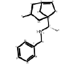 CC1CC2=CCC([C@H](C)NCc3ccccc3)(C2)C1